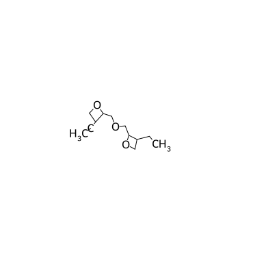 CCC1COC1COCC1OCC1CC